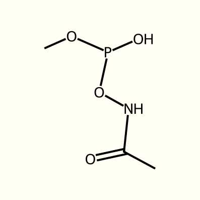 COP(O)ONC(C)=O